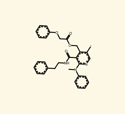 CN(c1ccccc1)c1ncc(I)c(COC(=O)COc2ccccc2)c1C(=O)NCCc1ccccc1